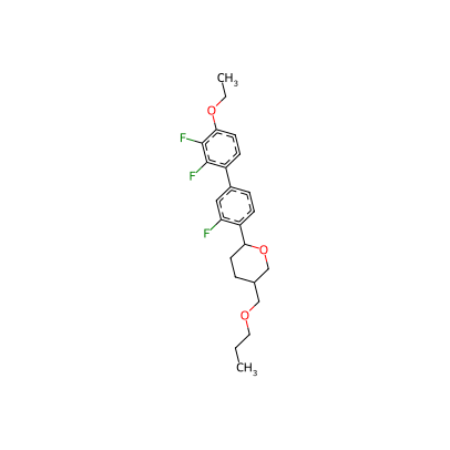 CCCOCC1CCC(c2ccc(-c3ccc(OCC)c(F)c3F)cc2F)OC1